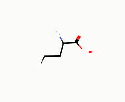 NC(CCC(=O)O)C(=O)OO